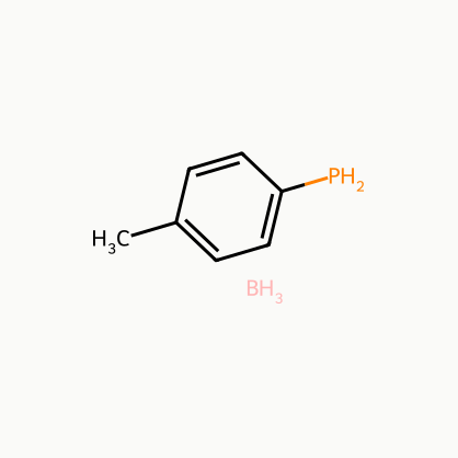 B.Cc1ccc(P)cc1